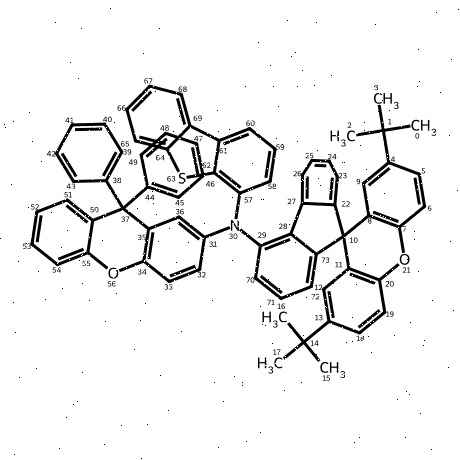 CC(C)(C)c1ccc2c(c1)C1(c3cc(C(C)(C)C)ccc3O2)c2ccccc2-c2c(N(c3ccc4c(c3)C(c3ccccc3)(c3ccccc3)c3ccccc3O4)c3cccc4c3sc3ccccc34)cccc21